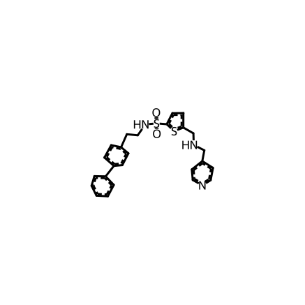 O=S(=O)(NCCc1ccc(-c2ccccc2)cc1)c1ccc(CNCc2ccncc2)s1